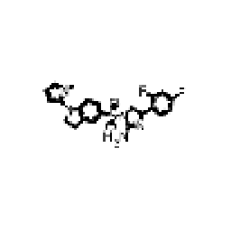 Cn1cccc1N1CCc2cc(S(=O)(=O)N3CC(c4ccc(F)cc4F)N=C3N)ccc21